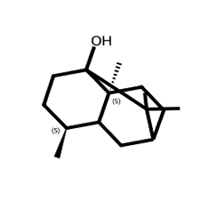 C[C@H]1CCC2(O)C(C)(C)C3CC[C@@]2(C)C1C3